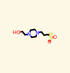 O=[SH](=O)CCCN1CCN(CCO)CC1